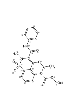 CCCCCCCCOC(=O)OC(C)OC1=C(C(=O)Nc2ccccn2)N(C)S(=O)(=O)c2ccccc21